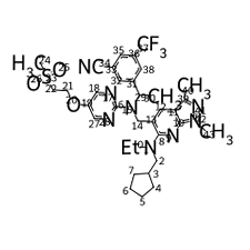 CCN(CC1CCCC1)c1nc2c(cc1CN(c1ncc(OCCS(C)(=O)=O)cn1)C(C)c1cc(C#N)cc(C(F)(F)F)c1)c(C)nn2C